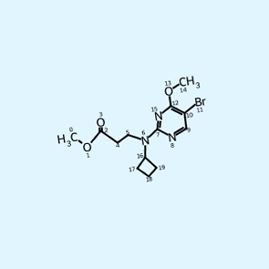 COC(=O)CCN(c1ncc(Br)c(OC)n1)C1CCC1